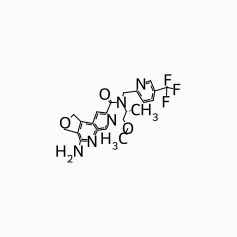 COC[C@@H](C)N(Cc1ccc(C(F)(F)F)cn1)C(=O)c1cc2c3c(c(N)nc2cn1)COC3